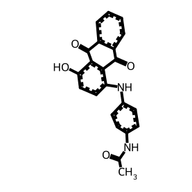 CC(=O)Nc1ccc(Nc2ccc(O)c3c2C(=O)c2ccccc2C3=O)cc1